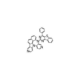 c1ccc(-c2nc(-n3c4cccc5ccc6c7cnccc7n(c7ccncc73)c6c54)nc3c2sc2ccccc23)cc1